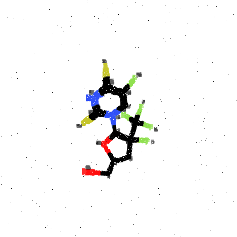 OC[C@@H]1CC(F)(C(F)(F)F)[C@H](n2cc(F)c(=S)[nH]c2=S)O1